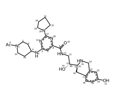 CC(=O)N1CCC(Nc2cc(C(=O)NC[C@@H](O)[C@@H]3Cc4ccc(O)cc4CN3)nc(N3CCCC3)n2)CC1